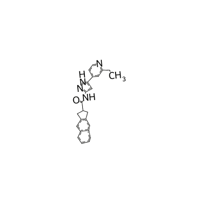 CCc1cc(-c2cc(NC(=O)C3Cc4cc5ccccc5cc4C3)n[nH]2)ccn1